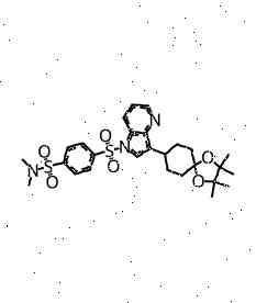 CN(C)S(=O)(=O)c1ccc(S(=O)(=O)n2cc(C3CCC4(CC3)OC(C)(C)C(C)(C)O4)c3ncccc32)cc1